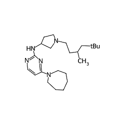 CC(CCN1CCC(Nc2nccc(N3CCCCCC3)n2)C1)CC(C)(C)C